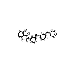 O=C(Nc1ccnc(Nc2cccc(CN3CCOCC3)n2)c1)c1c(Cl)cccc1Cl